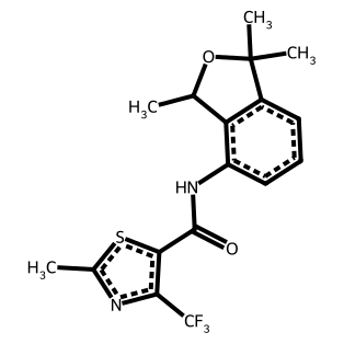 Cc1nc(C(F)(F)F)c(C(=O)Nc2cccc3c2C(C)OC3(C)C)s1